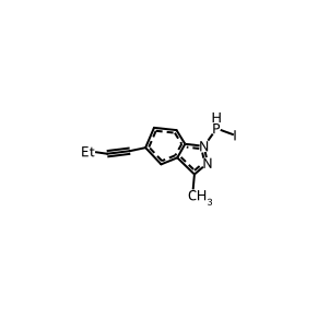 CCC#Cc1ccc2c(c1)c(C)nn2PI